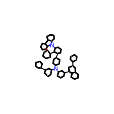 c1ccc(-c2cccc(N(c3ccc(-c4cccc(-n5c6ccccc6c6ccccc65)c4-c4ccccc4)cc3)c3cccc(-c4cc(-c5ccccc5)cc5ccccc45)c3)c2)cc1